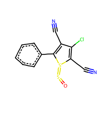 N#CC1=C(c2ccccc2)S(=S=O)C(C#N)=C1Cl